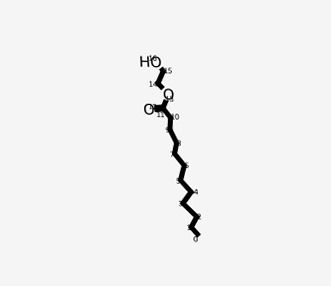 CCCCCCCCCCCC(=O)OCCO